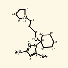 CC(C)c1cc(C(C)C)n(C2(OCCCN3CCCC3)CCCCC2)n1